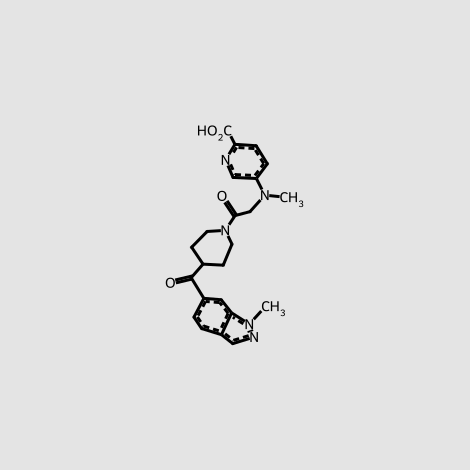 CN(CC(=O)N1CCC(C(=O)c2ccc3cnn(C)c3c2)CC1)c1ccc(C(=O)O)nc1